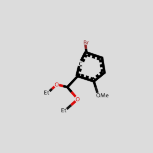 CCOC(OCC)c1cc(Br)ccc1OC